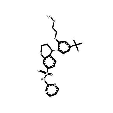 COCCOc1cc(C(F)(F)F)ccc1[C@H]1CCOc2cc(S(=O)(=O)Nc3ncccn3)ccc21